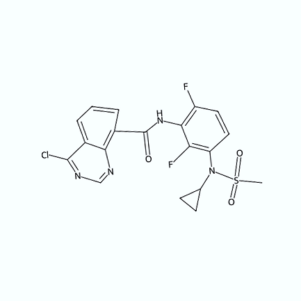 CS(=O)(=O)N(c1ccc(F)c(NC(=O)c2cccc3c(Cl)ncnc23)c1F)C1CC1